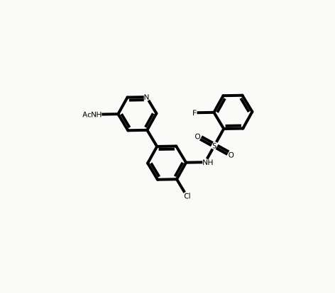 CC(=O)Nc1cncc(-c2ccc(Cl)c(NS(=O)(=O)c3ccccc3F)c2)c1